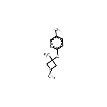 CN1CC(Oc2ccc(C(F)(F)F)cn2)(C(F)(F)F)C1